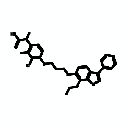 CCCc1c(OCCCSc2ccc(C(C)C(=O)O)c(C)c2Cl)ccc2c(-c3ccccc3)coc12